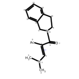 CC(=O)/C(=C\N(C)C)C(=O)N1CCc2ccccc2C1